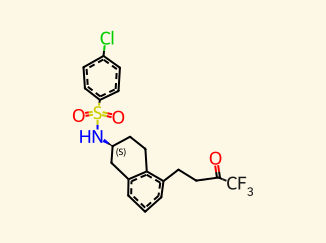 O=C(CCc1cccc2c1CC[C@H](NS(=O)(=O)c1ccc(Cl)cc1)C2)C(F)(F)F